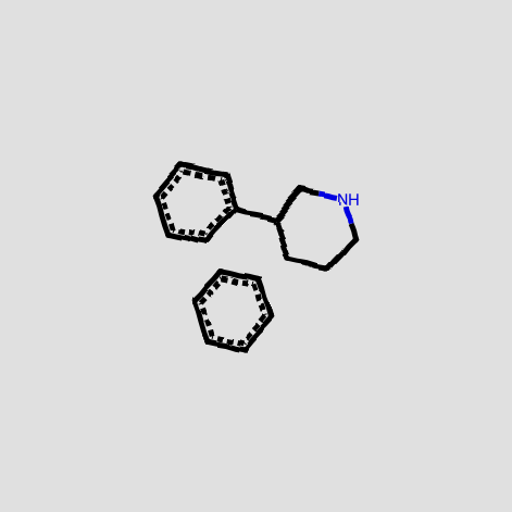 c1ccc(C2CCCNC2)cc1.c1ccccc1